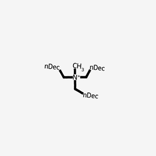 CCCCCCCCCCC[N+](C)(CCCCCCCCCCC)CCCCCCCCCCC